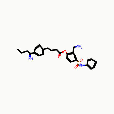 CCCC(=N)c1ccc(CCCC(=O)Oc2ccc(S(=O)(=O)Nc3ccccc3)cc2CN)cc1